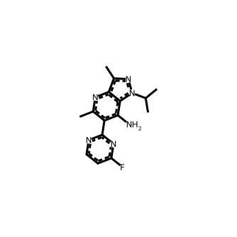 Cc1nc2c(C)nn(C(C)C)c2c(N)c1-c1nccc(F)n1